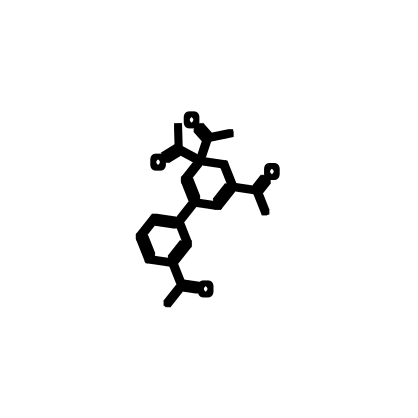 CC(=O)C1=CC(c2cccc(C(C)=O)c2)=CC(C(C)=O)(C(C)=O)C1